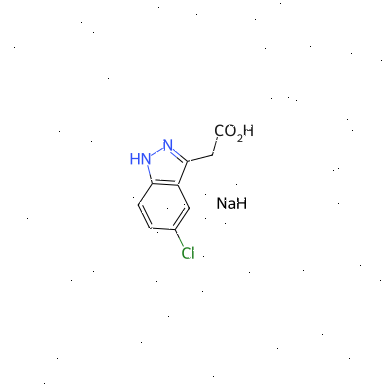 O=C(O)Cc1n[nH]c2ccc(Cl)cc12.[NaH]